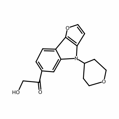 O=C(CO)c1ccc2c3occc3n(C3CCOCC3)c2c1